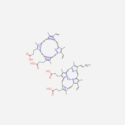 C=CC1=C(C)C2=NC/1=C\c1c(C)c(C=C)c3[n]1[Fe][n]1/c(c(C)c(CCC(=O)O)/c1=C/C1=NC(=C\3)/C(C)=C1CCC(=O)O)=C\2.C=CC1=C(C)c2cc3[nH]c(cc4nc(cc5[nH]c(cc1n2)c(C)c5CCC(=O)O)C(CCC(=O)O)=C4C)c(C)c3C=C.[Pb+4]